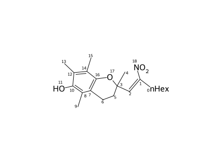 CCCCCC/C(=C/C1(C)CCc2c(C)c(O)c(C)c(C)c2O1)[N+](=O)[O-]